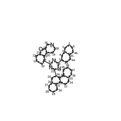 c1ccc2cc(-c3nc(-c4cccc5oc6cnccc6c45)nc(-c4cc5ccccc5c5ccc6ccccc6c45)n3)ccc2c1